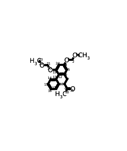 COCOc1cc(CCC(C)=O)c(-c2ccccc2)c(OCOC)c1